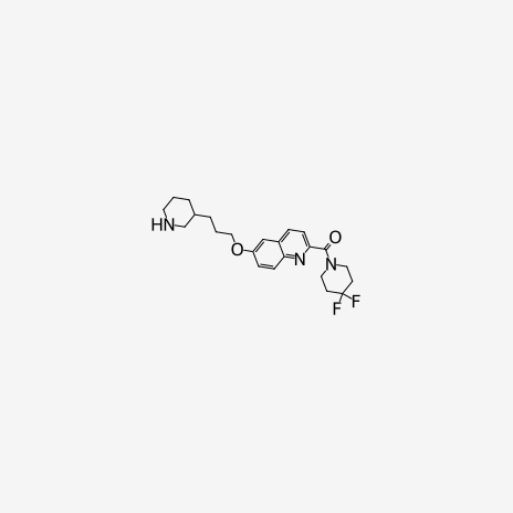 O=C(c1ccc2cc(OCCCC3CCCNC3)ccc2n1)N1CCC(F)(F)CC1